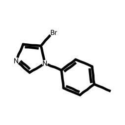 Cc1ccc(-n2cncc2Br)cc1